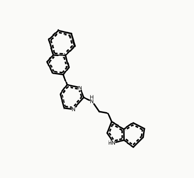 c1ccc2cc(-c3ccnc(NCCc4c[nH]c5ccccc45)n3)ccc2c1